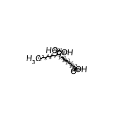 CCCCCC=CC[C@@H]1[C@@H](CC=CCCCCCC(=O)O)[C@@H](O)C[C@H]1O